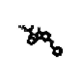 COC(=O)C1c2[nH]c3ccc(OCc4ccccc4)cc3c2C2CCN1C2